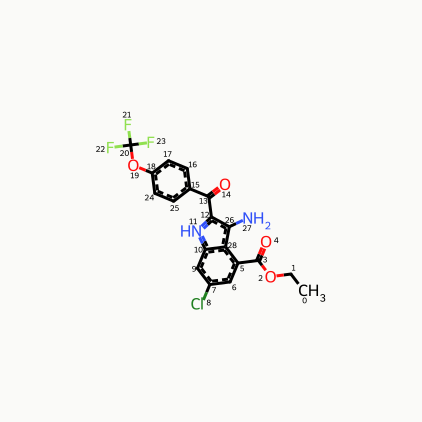 CCOC(=O)c1cc(Cl)cc2[nH]c(C(=O)c3ccc(OC(F)(F)F)cc3)c(N)c12